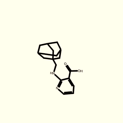 O=C(O)c1cccnc1NCC12CC3CC(CC(C3)C1)C2